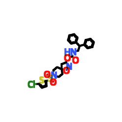 O=C(NCC(c1ccccc1)c1ccccc1)OC1=NOC2(CCN(S(=O)(=O)c3ccc(Cl)s3)CC2)C1